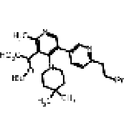 Cc1ncc(-c2ccc(CCC(C)C)nc2)c(N2CCC(C)(C)CC2)c1C(OC(C)(C)C)C(=O)O